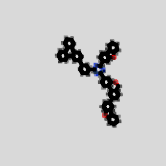 c1cc(-c2ccc3c4ccccc4c4ccccc4c3c2)cc(-c2nc(-c3ccc4c(c3)OCc3ccc(-c5ccc6oc7ccccc7c6c5)cc3-4)nc(-c3ccc4c(c3)oc3ccccc34)n2)c1